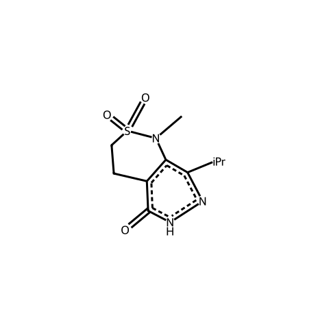 CC(C)c1n[nH]c(=O)c2c1N(C)S(=O)(=O)CC2